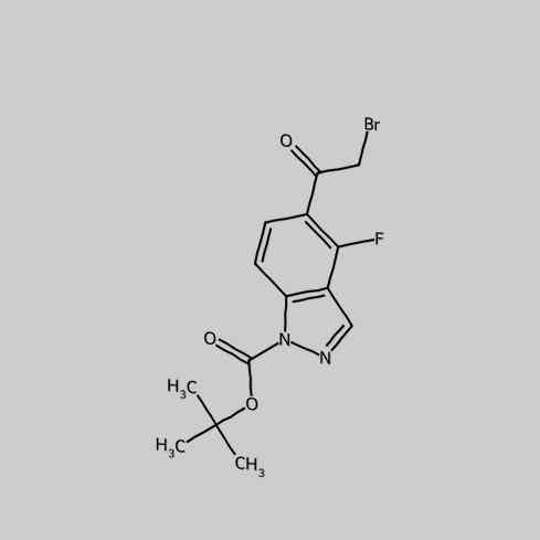 CC(C)(C)OC(=O)n1ncc2c(F)c(C(=O)CBr)ccc21